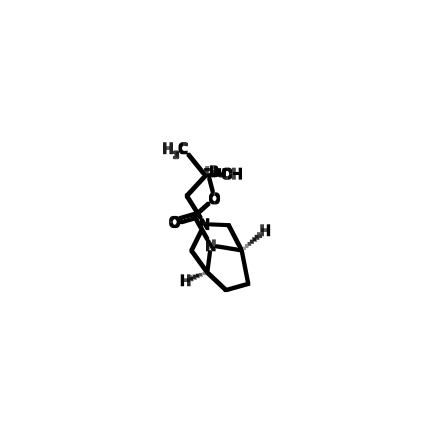 CC(O)CN1C[C@H]2CC[C@@H](C1)N2C(=O)OC(C)(C)C